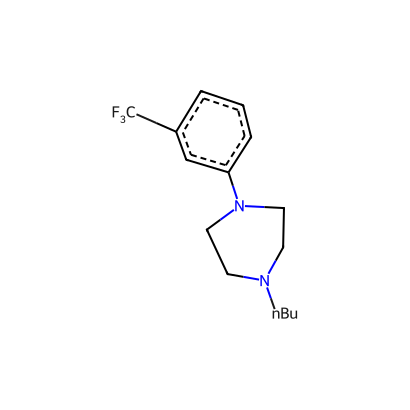 [CH2]CCCN1CCN(c2cccc(C(F)(F)F)c2)CC1